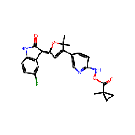 CC1(C(=O)ONc2ccc(C3=CC(=C4C(=O)Nc5ccc(F)cc54)OC3(C)C)cn2)CC1